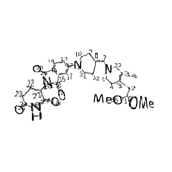 COC(CC1CCN(CC2CCN(c3ccc4c(c3)C(=O)N(C3CCC(=O)NC3=O)C4=O)CC2)CC1)OC